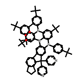 CC(C)(C)c1ccc(N2c3cc4c(cc3B3c5cc(C(C)(C)C)ccc5N(c5ccc(C(C)(C)C)cc5-c5cc(C(C)(C)C)cc(C(C)(C)C)c5)c5cc(C(C)(C)C)cc2c53)-c2ccc3c(c2C4(c2ccncc2)c2ccncc2)CCC3)cc1